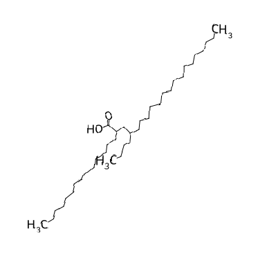 CCCCCCCCCCCCCCCCC(CCCC)CC(CCCCCCCCCCCCCC)C(=O)O